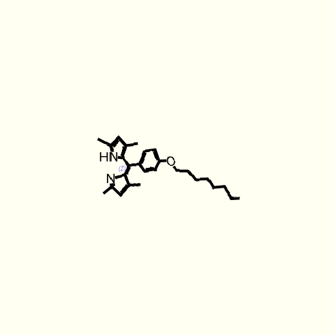 CCCCCCCCOc1ccc(/C(=C2/N=C(C)C=C2C)c2[nH]c(C)cc2C)cc1